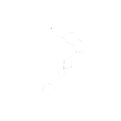 CC1(C)CN=C(N2CC3(C2)CN(c2ncnc4ccc(OC(F)(F)F)cc24)C3)S1